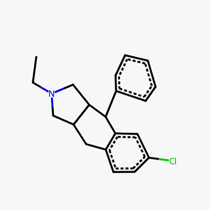 CCN1CC2Cc3ccc(Cl)cc3C(c3ccccc3)C2C1